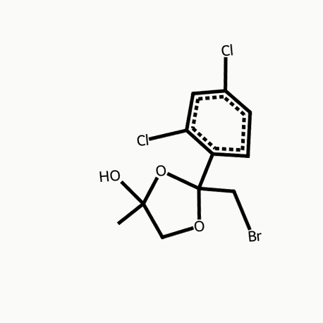 CC1(O)COC(CBr)(c2ccc(Cl)cc2Cl)O1